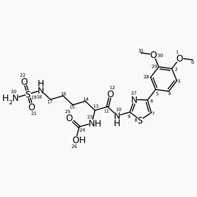 COc1ccc(-c2csc(NC(=O)C(CCCCNS(N)(=O)=O)NC(=O)O)n2)cc1OC